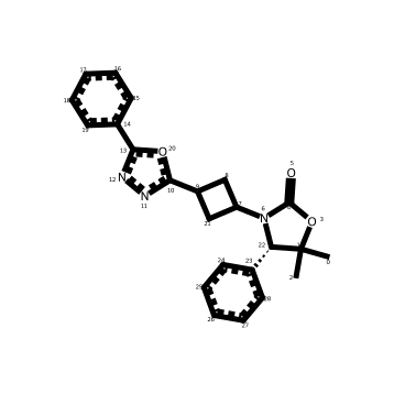 CC1(C)OC(=O)N(C2CC(c3nnc(-c4ccccc4)o3)C2)[C@H]1c1ccccc1